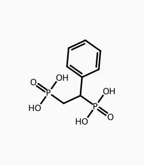 O=P(O)(O)CC(c1ccccc1)P(=O)(O)O